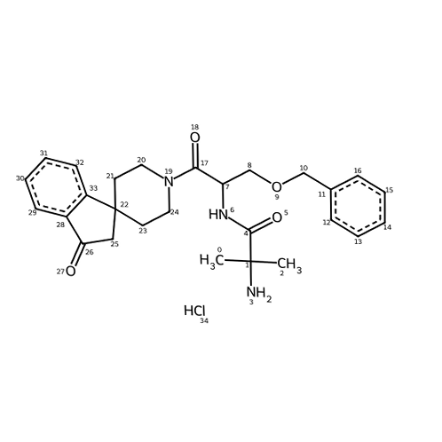 CC(C)(N)C(=O)NC(COCc1ccccc1)C(=O)N1CCC2(CC1)CC(=O)c1ccccc12.Cl